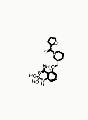 NC1=NS(O)(O)Nc2cccc(OC[C@H]3CCCN(C(=O)C4CCCO4)C3)c21